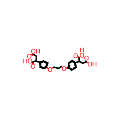 O=C(O)CC(C(=O)O)c1ccc(OCCCOc2ccc(C(CC(=O)O)C(=O)O)cc2)cc1